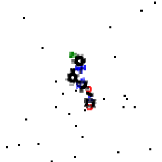 Brc1ccc2nnn(Cc3cccc(-c4ncc(OCCN5CCOCC5)cn4)c3)c2c1